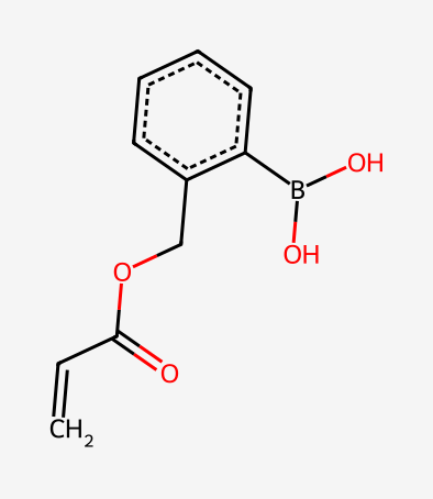 C=CC(=O)OCc1ccccc1B(O)O